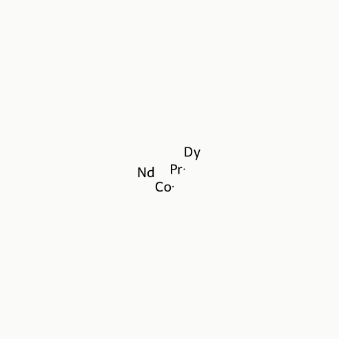 [Co].[Dy].[Nd].[Pr]